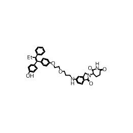 CCC(=C(c1ccc(O)cc1)c1ccc(OCCOCCCNc2ccc3c(c2)CN(C2CCC(=O)NC2=O)C3=O)cc1)c1ccccc1